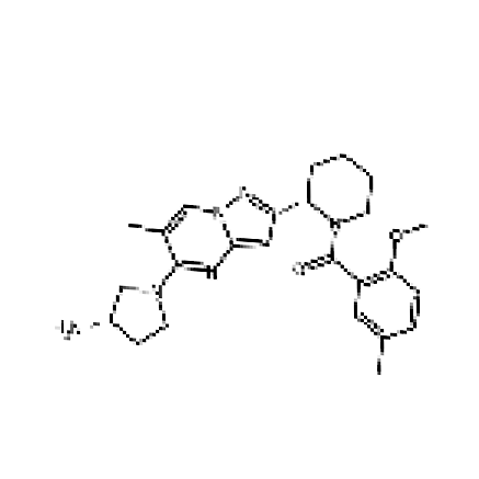 COc1ccc(C)cc1C(=O)N1CCCC[C@H]1c1cc2nc(N3CC[C@H](N)C3)c(C)cn2n1